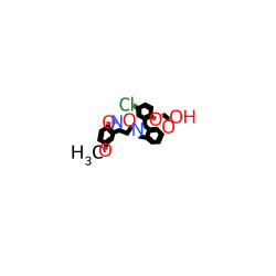 COc1ccc2onc(CC(=O)N3Cc4ccccc4C3c3cc(Cl)ccc3OCC(=O)O)c2c1